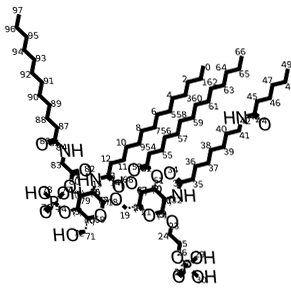 CCCCCCCCCCCCCC(=O)N[C@H]1[C@H](OC[C@H]2O[C@H](OCCOP(=O)(O)O)[C@H](NC(=O)CCCCCCCNC(=O)CCCCC)[C@@H](OC(=O)CCCCCCCCCCCCC)[C@@H]2O)O[C@H](CO)[C@@H](OP(=O)(O)O)[C@@H]1OC(=O)CNC(=O)CCCCCCCCCCC